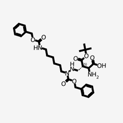 CC(C)(C)OC(=O)[C@@H](CNN(CCCCCCNC(=O)OCc1ccccc1)C(=O)OCc1ccccc1)C(N)C(=O)O